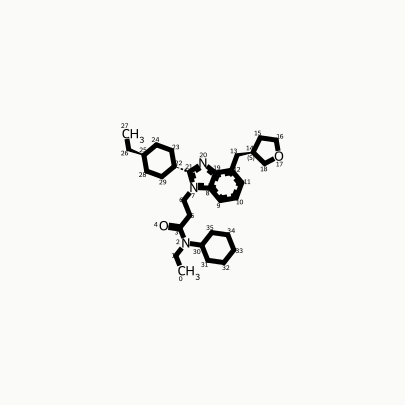 CCN(C(=O)CCn1c2cccc(C[C@H]3CCOC3)c2nc1[C@H]1CC[C@H](CC)CC1)C1CCCCC1